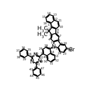 CC1(C)c2cc3c(cc2-c2ccc4ccccc4c21)c1cc(Br)ccc1n3-c1ccc(-c2nc(-c3ccccc3)nc(-c3ccccc3)n2)c2ccccc12